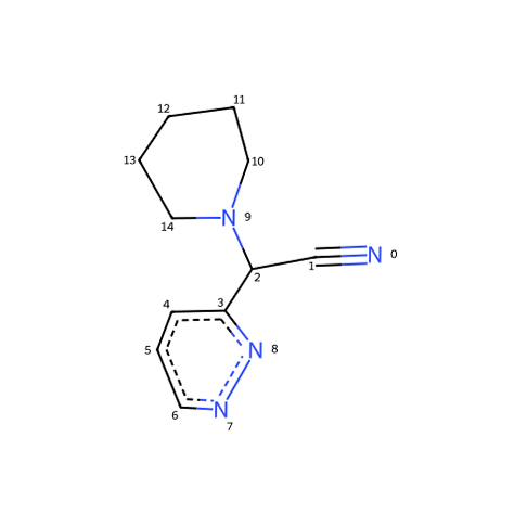 N#CC(c1cccnn1)N1CCCCC1